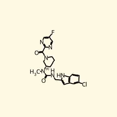 CN(C(=O)NCc1cc2cc(Cl)ccc2[nH]1)[C@@H]1CCCN(C(=O)c2ncc(F)cn2)C1